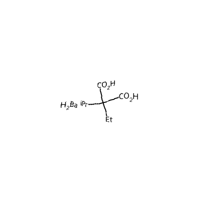 CCC(C(=O)O)(C(=O)O)C(C)C.[BaH2]